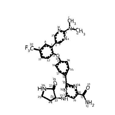 CN(C)c1ncc(-c2cc(C(F)(F)F)ccc2Oc2ccc(-c3nc(N[C@H]4CCNC4=O)cc(C(N)=O)n3)cc2)cn1